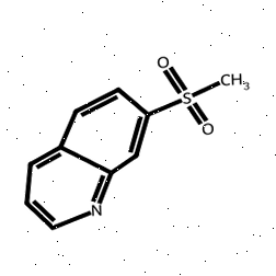 CS(=O)(=O)c1ccc2cccnc2c1